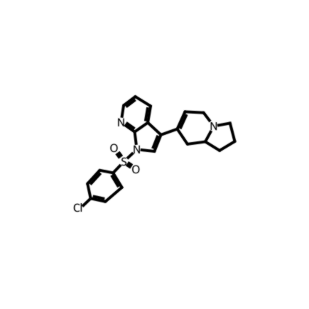 O=S(=O)(c1ccc(Cl)cc1)n1cc(C2=CCN3CCCC3C2)c2cccnc21